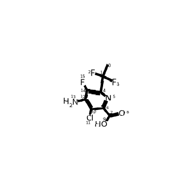 CC(F)(F)c1nc(C(=O)O)c(Cl)c(N)c1F